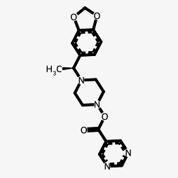 C[C@@H](c1ccc2c(c1)OCO2)N1CCN(OC(=O)c2cncnc2)CC1